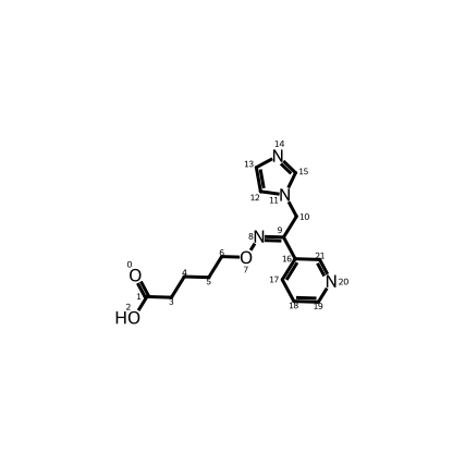 O=C(O)CCCCO/N=C(/Cn1ccnc1)c1cccnc1